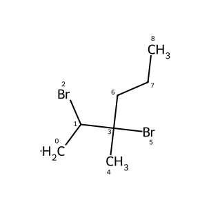 [CH2]C(Br)C(C)(Br)CCC